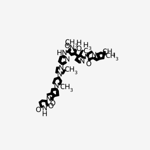 COc1ncc(-c2ccnc(N3CCn4c(cc5c4CC(C)(C)C5)C3=O)c2[C@@H](C)O)cc1Nc1ccc(N2CCN(C3CCN(c4ccc5c(c4)CN([C@H]4CCC(=O)NC4=O)C5=O)[C@H](C)C3)C[C@@H]2C)cn1